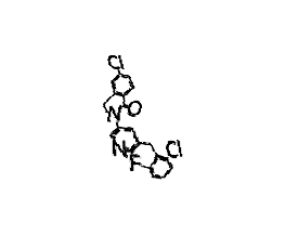 O=C1c2ccc(Cl)cc2CCN1c1cncc(Cc2c(F)cccc2Cl)c1